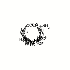 CC1(C)NC(=O)[C@H](Cc2cnc[nH]2)NC(=O)[C@H](CC(=O)O)NC(=O)[C@H](Cc2c[nH]c3ccc(F)cc23)NC(=O)[C@H](Cc2c[nH]c3ccc(F)cc23)NC(=O)CNC(=O)[C@H](CCCCN)NC(=O)CCSCc2cccc(c2)CSC[C@@H](C(N)=O)NC(=O)[C@@H]2CCCN2C1=O